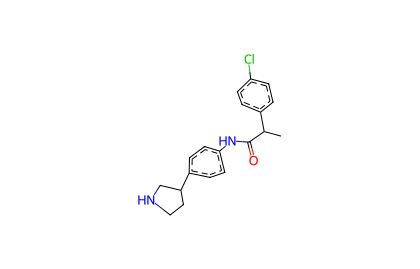 CC(C(=O)Nc1ccc(C2CCNC2)cc1)c1ccc(Cl)cc1